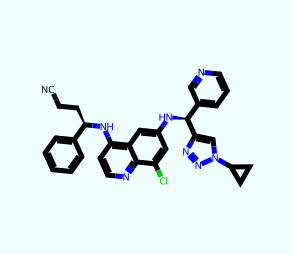 N#CCC[C@@H](Nc1ccnc2c(Cl)cc(N[C@@H](c3cccnc3)c3cn(C4CC4)nn3)cc12)c1ccccc1